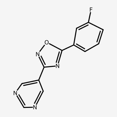 Fc1cccc(-c2nc(-c3cncnc3)no2)c1